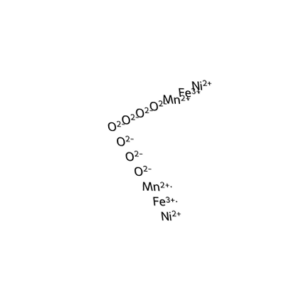 [Fe+3].[Fe+3].[Mn+2].[Mn+2].[Ni+2].[Ni+2].[O-2].[O-2].[O-2].[O-2].[O-2].[O-2].[O-2]